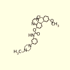 CCN1CCN(c2cccc(NC(=O)Oc3ccc(-c4cc(OC)ccc4Cl)c4nccnc34)c2)CC1